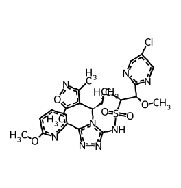 CC[C@H](c1c(C)noc1C)n1c(NS(=O)(=O)[C@@H](C)[C@H](OC)c2ncc(Cl)cn2)nnc1-c1cccc(OC)n1